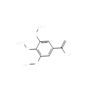 C=C(OC(C)=O)c1cc(OCCCC)c(OCCCC)c(OCCCC)c1